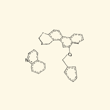 c1ccc(COc2cc3c4c(ccc3c3ccccc23)CCCC4)cc1.c1ccc2ncccc2c1